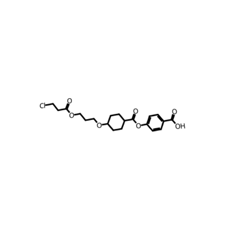 O=C(CCCl)OCCCOC1CCC(C(=O)Oc2ccc(C(=O)O)cc2)CC1